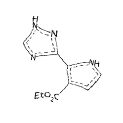 CCOC(=O)c1cc[nH]c1-c1nc[nH]n1